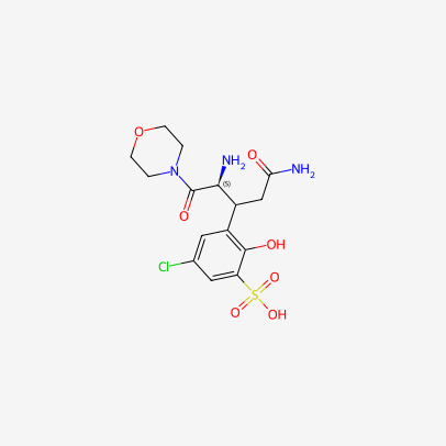 NC(=O)CC(c1cc(Cl)cc(S(=O)(=O)O)c1O)[C@H](N)C(=O)N1CCOCC1